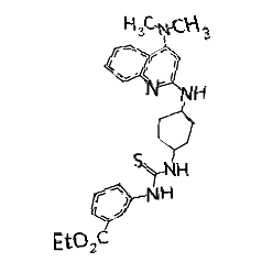 CCOC(=O)c1cccc(NC(=S)NC2CCC(Nc3cc(N(C)C)c4ccccc4n3)CC2)c1